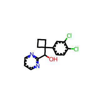 OC(c1ncccn1)C1(c2ccc(Cl)c(Cl)c2)CCC1